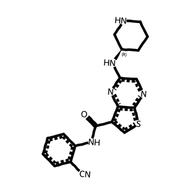 N#Cc1ccccc1NC(=O)c1csc2ncc(N[C@@H]3CCCNC3)nc12